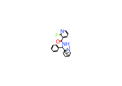 CN1CC2CCC1(C(NC(=O)c1cccnc1F)c1ccccc1)CC2